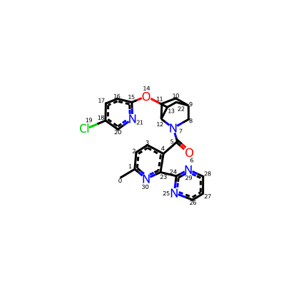 Cc1ccc(C(=O)N2CC3CCC2C(Oc2ccc(Cl)cn2)C3)c(-c2ncccn2)n1